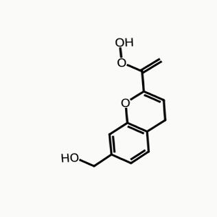 C=C(OO)C1=CCc2ccc(CO)cc2O1